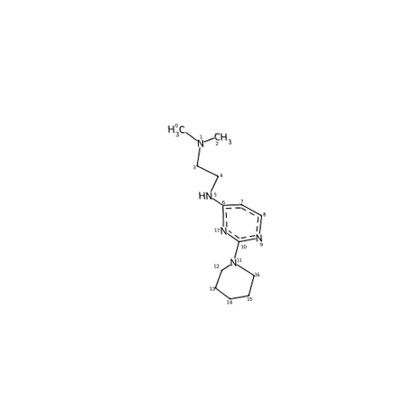 CN(C)CCNc1ccnc(N2CCCCC2)n1